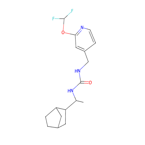 CC(NC(=O)NCc1ccnc(OC(F)F)c1)C1CC2CCC1C2